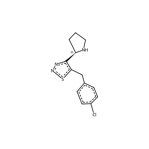 Clc1ccc(Cc2snnc2[C@H]2CCCN2)cc1